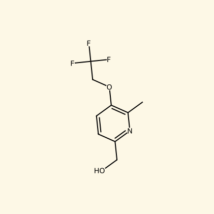 Cc1nc(CO)ccc1OCC(F)(F)F